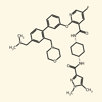 Cc1cc(C(=O)N[C@H]2CC[C@@H](NC(=O)c3cc(F)cnc3Oc3cccc(-c4ccc(CN(C)C)cc4CN4CCOCC4)c3)CC2)nn1C